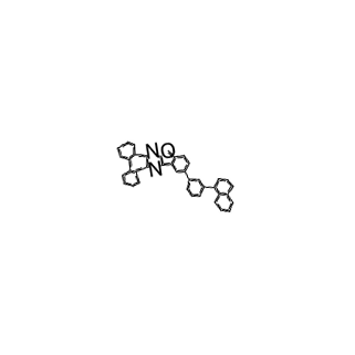 c1cc(-c2ccc3oc4nc5c6ccccc6c6ccccc6c5nc4c3c2)cc(-c2cccc3ccccc23)c1